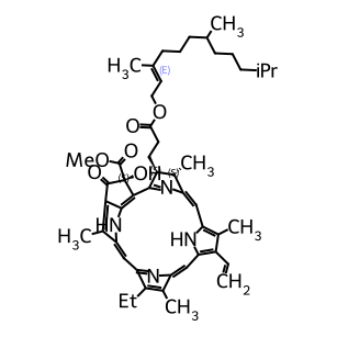 C=Cc1c(C)c2cc3nc(c4c5[nH]c(cc6nc(cc1[nH]2)C(C)=C6CC)c(C)c5C(=O)[C@]4(O)C(=O)OC)[C@@H](CCC(=O)OC/C=C(\C)CCCC(C)CCCC(C)C)[C@@H]3C